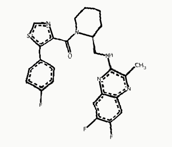 Cc1nc2cc(F)c(F)cc2nc1NC[C@@H]1CCCCN1C(=O)c1ncsc1-c1ccc(F)cc1